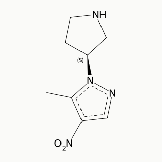 Cc1c([N+](=O)[O-])cnn1[C@H]1CCNC1